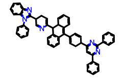 C1=CC2=C(C3=CCC(c4cc(-c5ccccc5)nc(-c5ccccc5)n4)C=C3)c3ccccc3C(C3=CCC(c4nc5ccccc5n4-c4ccccc4)C=N3)C2C=C1